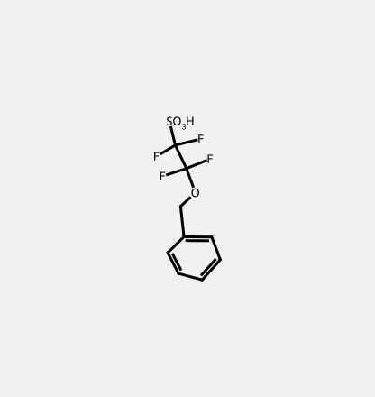 O=S(=O)(O)C(F)(F)C(F)(F)OCc1ccccc1